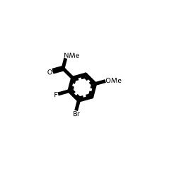 CNC(=O)c1cc(OC)cc(Br)c1F